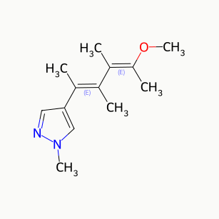 CO/C(C)=C(C)/C(C)=C(\C)c1cnn(C)c1